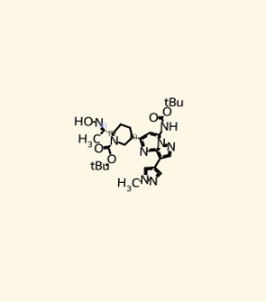 C/C(=N\O)[C@@H]1CC[C@H](c2cc(NC(=O)OC(C)(C)C)n3ncc(-c4cnn(C)c4)c3n2)CN1C(=O)OC(C)(C)C